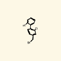 N#Cc1ccccc1-c1ccc(CBr)cc1Cl